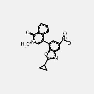 Cn1cc(-c2cc([N+](=O)[O-])cc3nc(C4CC4)oc23)c2ccccc2c1=O